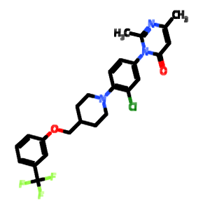 Cc1cc(=O)n(-c2ccc(N3CCC(COc4cccc(C(F)(F)F)c4)CC3)c(Cl)c2)c(C)n1